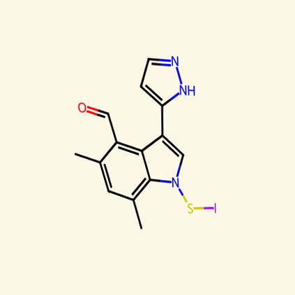 Cc1cc(C)c2c(c(-c3ccn[nH]3)cn2SI)c1C=O